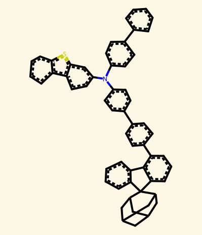 c1ccc(-c2ccc(N(c3ccc(-c4ccc(-c5cccc6c5-c5ccccc5C65C6CC7CC(C6)CC5C7)cc4)cc3)c3ccc4c(c3)sc3ccccc34)cc2)cc1